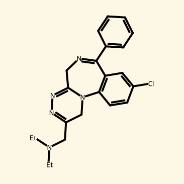 CCN(CC)CC1=NN=C2CN=C(c3ccccc3)c3cc(Cl)ccc3N2C1